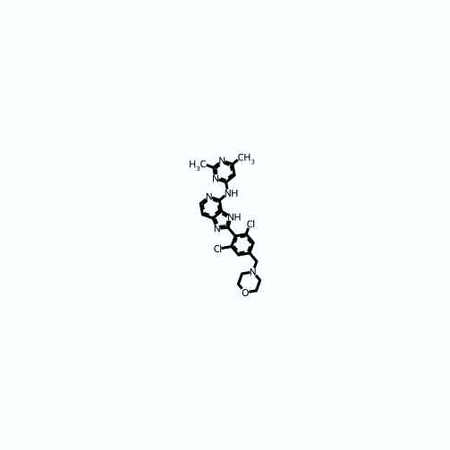 Cc1cc(Nc2nccc3nc(-c4c(Cl)cc(CN5CCOCC5)cc4Cl)[nH]c23)nc(C)n1